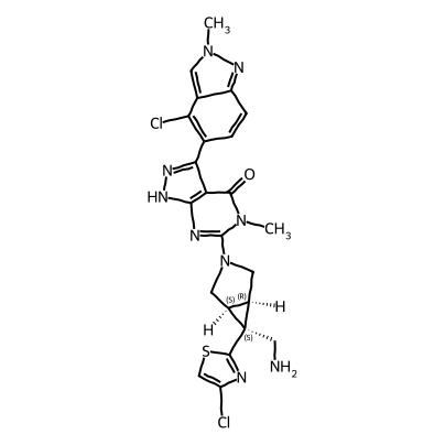 Cn1cc2c(Cl)c(-c3n[nH]c4nc(N5C[C@@H]6[C@H](C5)[C@]6(CN)c5nc(Cl)cs5)n(C)c(=O)c34)ccc2n1